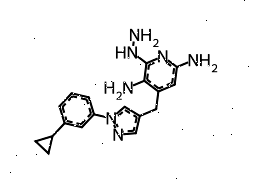 NNc1nc(N)cc(Cc2cnn(-c3cccc(C4CC4)c3)c2)c1N